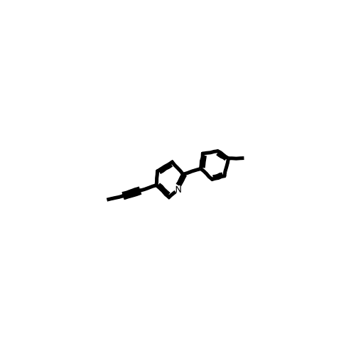 CC#Cc1ccc(-c2ccc(C)cc2)nc1